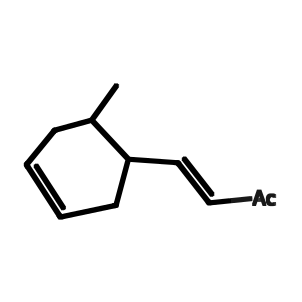 CC(=O)C=CC1CC=CCC1C